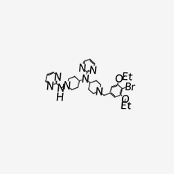 CCOc1cc(CN2CCC(N(c3ncccn3)C3CCN(Nc4ncccn4)CC3)CC2)cc(OCC)c1Br